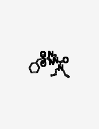 C=CCN(CC=C)C(=O)n1cnc(S(=O)(=O)CC2CCCCC2)n1